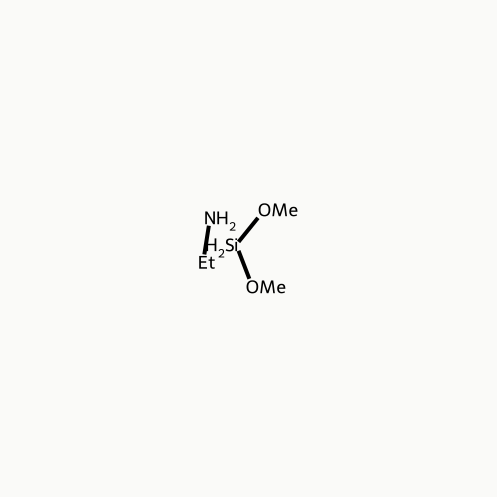 CCN.CO[SiH2]OC